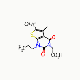 Cc1c(C=O)sc2c1c(=O)n(CC(=O)O)c(=O)n2CCC(F)(F)F